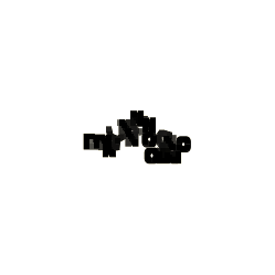 CCn1ncc(-c2nc3c(OC4CCN(C(=O)OCC(C)C)C4)ncnc3n2C)c1C